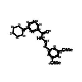 COc1cc(/C=N/NC(=O)c2cncc(N3CCCCC3)n2)cc(OC)c1